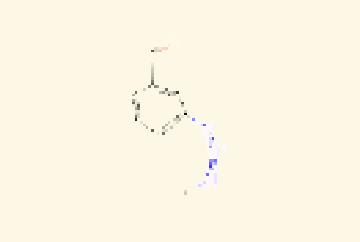 CN=[N+]=Nc1cccc(C=O)c1